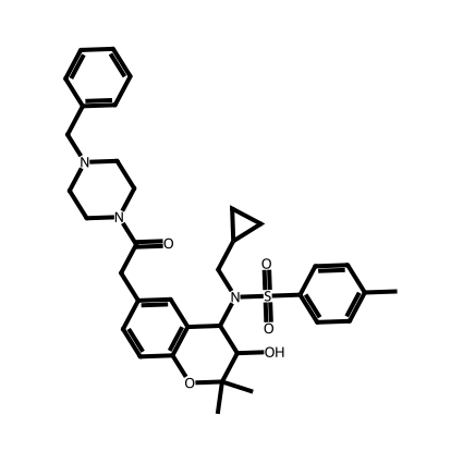 Cc1ccc(S(=O)(=O)N(CC2CC2)C2c3cc(CC(=O)N4CCN(Cc5ccccc5)CC4)ccc3OC(C)(C)C2O)cc1